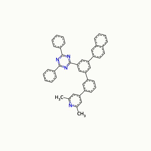 Cc1cc(-c2cccc(-c3cc(-c4ccc5ccccc5c4)cc(-c4nc(-c5ccccc5)nc(-c5ccccc5)n4)c3)c2)cc(C)n1